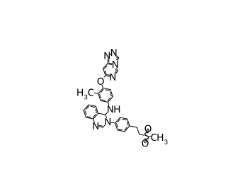 Cc1cc(NC2c3ccccc3N=CN2c2ccc(CCS(C)(=O)=O)cc2)ccc1Oc1cc2nncn2cn1